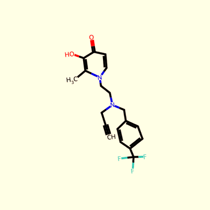 C#CCN(CCn1ccc(=O)c(O)c1C)Cc1ccc(C(F)(F)F)cc1